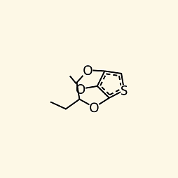 CCC1COc2csc(c2OC)O1